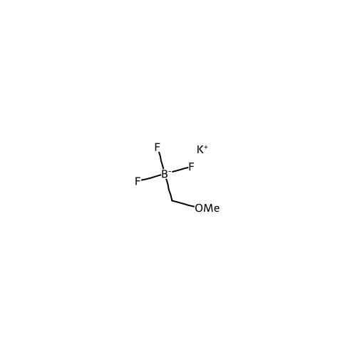 COC[B-](F)(F)F.[K+]